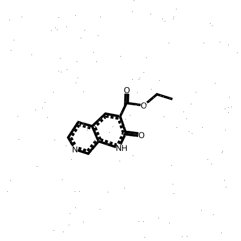 CCOC(=O)c1cc2ccncc2[nH]c1=O